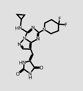 O=C1NC(=O)/C(=C/c2cnn3c(NC4CC4)nc(N4CCC(F)(F)CC4)nc23)N1